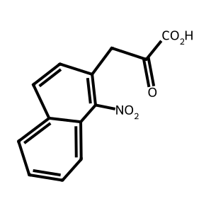 O=C(O)C(=O)Cc1ccc2ccccc2c1[N+](=O)[O-]